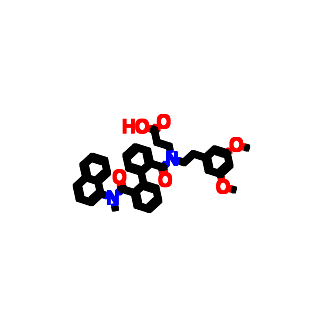 COc1cc(CCN(CCC(=O)O)C(=O)c2ccccc2-c2ccccc2C(=O)N(C)c2cccc3ccccc23)cc(OC)c1